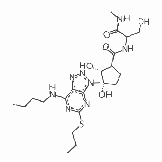 CCCCNc1nc(SCCC)nc2c1nnn2[C@]1(O)CC[C@H](C(=O)NC(CO)C(=O)NC)[C@H]1O